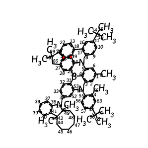 Cc1cc2c3c(c1)N(c1ccc(C(C)(C)C)cc1-c1ccccc1)c1cc4c(cc1B3c1ccc(N3c5ccccc5C5(C)CCCCCCC35C)cc1N2c1ccc(C(C)(C)C)cc1C)CC(C)(C)C4